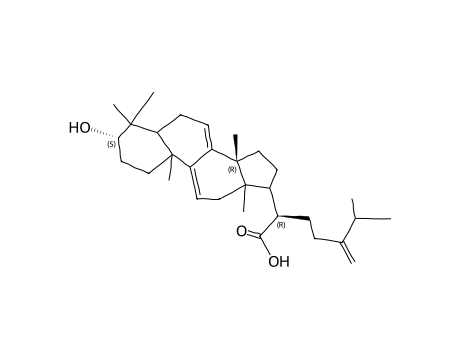 C=C(CC[C@@H](C(=O)O)C1CC[C@@]2(C)C3=CCC4C(C)(CC[C@H](O)C4(C)C)C3=CCC12C)C(C)C